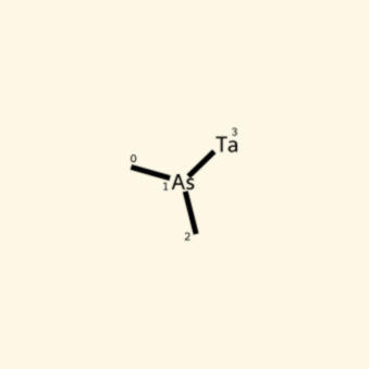 C[As](C)[Ta]